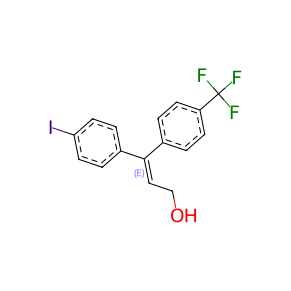 OC/C=C(/c1ccc(I)cc1)c1ccc(C(F)(F)F)cc1